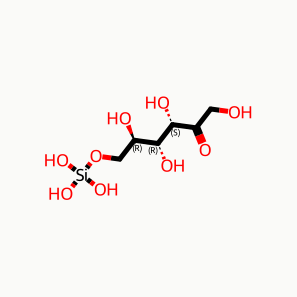 O=C(CO)[C@@H](O)[C@H](O)[C@H](O)CO[Si](O)(O)O